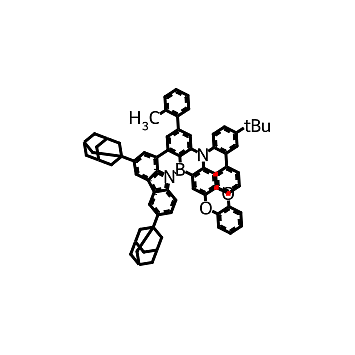 Cc1ccccc1-c1cc2c3c(c1)N(c1ccc(C(C)(C)C)cc1-c1ccccc1)c1cc4c(cc1B3n1c3ccc(C56CC7CC(CC(C7)C5)C6)cc3c3cc(C56CC7CC(CC(C7)C5)C6)cc-2c31)Oc1ccccc1O4